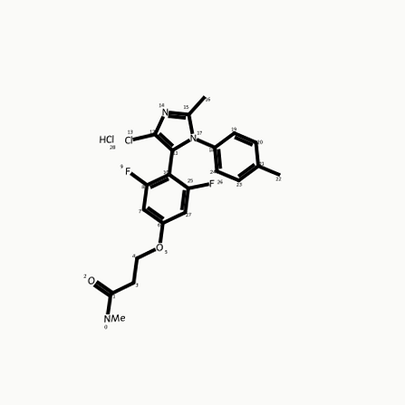 CNC(=O)CCOc1cc(F)c(-c2c(Cl)nc(C)n2-c2ccc(C)cc2)c(F)c1.Cl